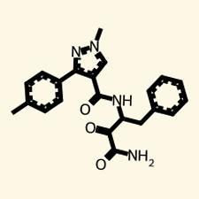 Cc1ccc(-c2nn(C)cc2C(=O)NC(Cc2ccccc2)C(=O)C(N)=O)cc1